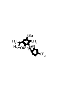 C=C(C)c1cc(C(C)(C)C)c(C)c(-n2nc3ccc(C(F)(F)F)cc3n2)c1OC